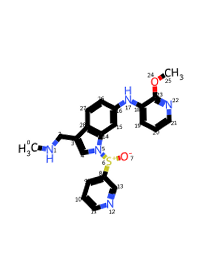 CNCc1cn([S+]([O-])c2cccnc2)c2cc(Nc3cccnc3OC)ccc12